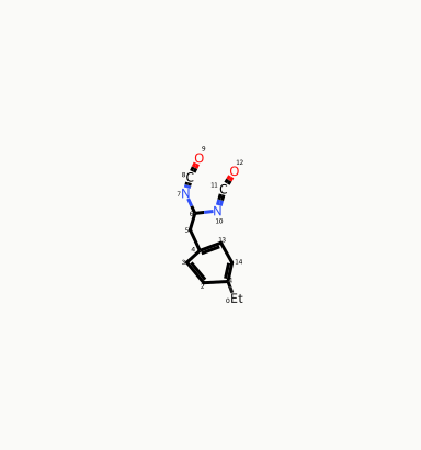 CCc1ccc(CC(N=C=O)N=C=O)cc1